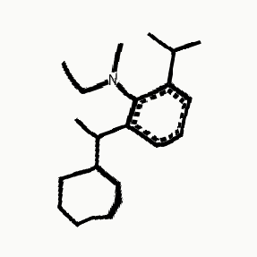 CCN(C)c1c(C(C)C)cccc1C(C)C1CCCCC1